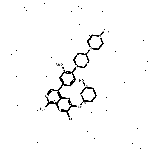 CCc1nc2c(N)ncc(-c3ccc(N4CCC(N5CCN(C)CC5)CC4)c(OC)c3)c2nc1N[C@@H]1CCC[C@H](O)C1